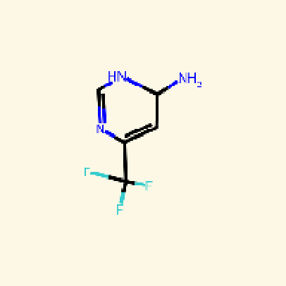 NC1C=C(C(F)(F)F)N=CN1